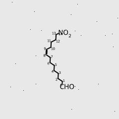 O=[C]CCCCCCC/C=C\CCCC[N+](=O)[O-]